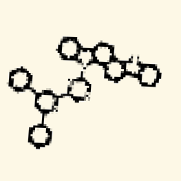 c1ccc(-c2cc(-c3ccccc3)nc(-c3cncc(-n4c5ccccc5c5ccc6c(ccc7c8ccccc8oc76)c54)n3)c2)cc1